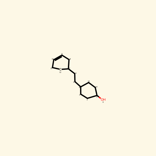 OC1CCC(CCC2CC=CCC2)CC1